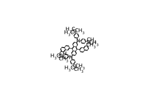 C[Si](C)(C)c1ccc(N(c2ccc([Si](C)(C)C)cc2)c2ccc3c(-c4ccc5ccccc5c4)c4cc(N(c5ccc([Si](C)(C)C)cc5)c5ccc([Si](C)(C)C)cc5)ccc4c(-c4ccc5ccccc5c4)c3c2)cc1